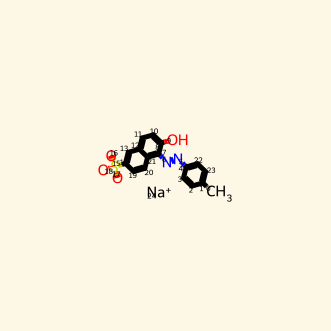 Cc1ccc(N=Nc2c(O)ccc3cc(S(=O)(=O)[O-])ccc23)cc1.[Na+]